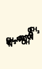 COc1ccc2nccc(CCC[C@@H]3CCN(CCCCc4nccn4C)C[C@@H]3C(=O)O)c2c1